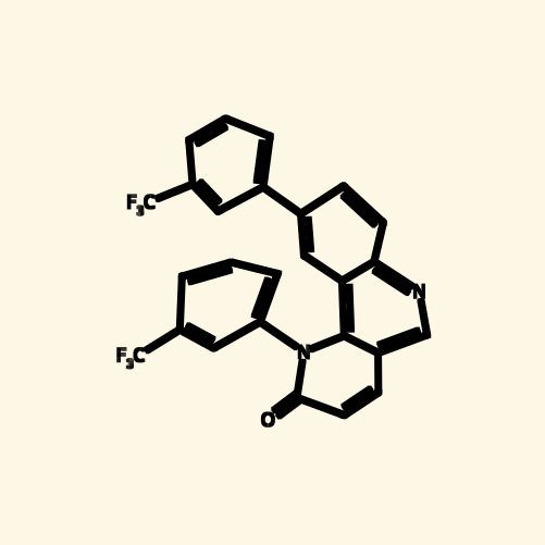 O=c1ccc2cnc3ccc(-c4cccc(C(F)(F)F)c4)cc3c2n1-c1cccc(C(F)(F)F)c1